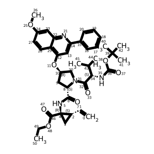 C=C[C@@H]1C[C@]1(NC(=O)[C@@H]1C[C@@H](Oc2cc(-c3ccccc3)nc3cc(OC)ccc23)CN1C(=O)[C@@H](NC(=O)OC(C)(C)C)C(C)C)C(=O)OCC